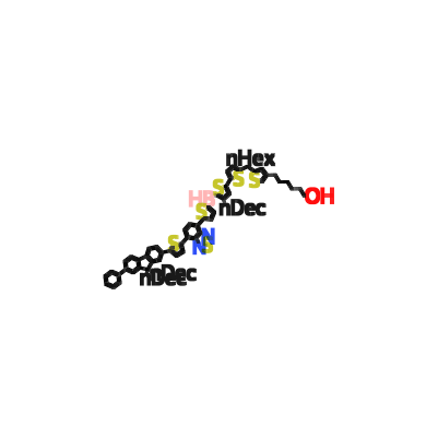 CCCCCCCCCCc1cc(-c2cc(CCCCCC)c(Cc3cc(CCCCCCO)cs3)s2)sc1Bc1ccc(-c2ccc(-c3ccc(-c4ccc5c(c4)C(CCCCCCCCCC)(CCCCCCCCCC)c4cc(-c6ccccc6)ccc4-5)s3)c3nsnc23)s1